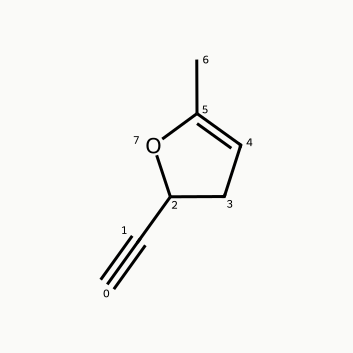 C#CC1CC=C(C)O1